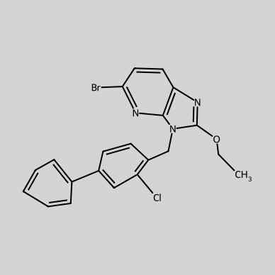 CCOc1nc2ccc(Br)nc2n1Cc1ccc(-c2ccccc2)cc1Cl